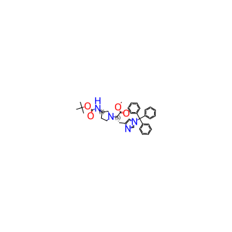 COC(=O)[C@H](Cc1cn(C(c2ccccc2)(c2ccccc2)c2ccccc2)cn1)N1CC[C@@H](NC(=O)OC(C)(C)C)C1